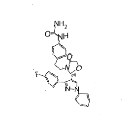 NC(=O)Nc1ccc(CCN2C(=O)CO[C@@H]2c2cn(-c3ccccc3)nc2-c2ccc(F)cc2)cc1